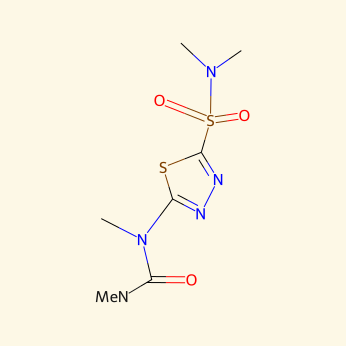 CNC(=O)N(C)c1nnc(S(=O)(=O)N(C)C)s1